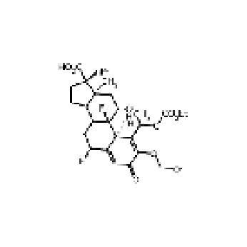 CCC[C@]1(C(=O)O)CCC2C3C[C@H](F)C4=CC(=O)C(OC[O])=C(C(C)OC(=O)OCC)[C@]4(C)[C@@]3(F)[C@@H](O)C[C@@]21C